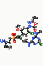 CC(C)Oc1cc(-n2nc(C(C)(C)C)oc2=O)c(Cl)cc1Cl.CCNc1nc(Cl)nc(NC(C)(C)C)n1.CP(=O)(O)CCC(N)C(=O)O